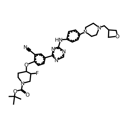 CC(C)(C)OC(=O)N1CCC(Oc2ccc(-c3ncnc(Nc4ccc(N5CCN(CC6COC6)CC5)cc4)n3)cc2C#N)C(F)C1